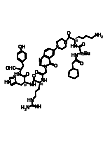 CC[C@H](C)[C@H](NC(=O)CC1CCCCC1)C(=O)N[C@@H](CCCCN)C(=O)N1CCN(c2ccc3ncn(CC(=O)N[C@@H](CCCNC(=N)N)C(=O)N[C@@H](Cc4c[nH]cn4)C(=O)NC(C=O)Cc4ccc(O)cc4)c(=O)c3c2)CC1